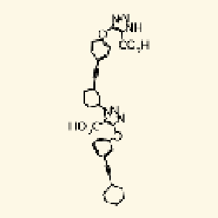 O=C(O)c1[nH]nnc1Oc1ccc(C#CC2CCCC(n3nnc(Oc4cccc(C#CC5CCCCC5)c4)c3C(=O)O)C2)cc1